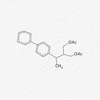 CC(=O)OCC(COC(C)=O)C(C)c1ccc(-c2ccccc2)cc1